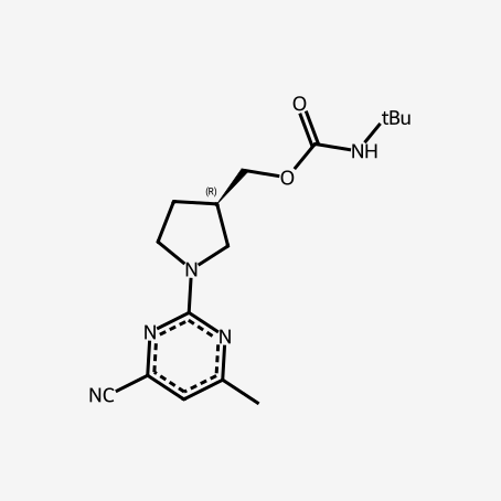 Cc1cc(C#N)nc(N2CC[C@@H](COC(=O)NC(C)(C)C)C2)n1